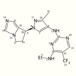 CCNc1nc(Nc2cn([C@H]3CCn4cncc43)nc2C)ncc1C(F)(F)F